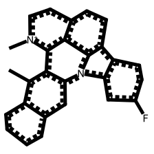 Cc1c2ccccc2cc2c1c1c3c(ccc4c5ccc(F)cc5n2c43)cc[n+]1C